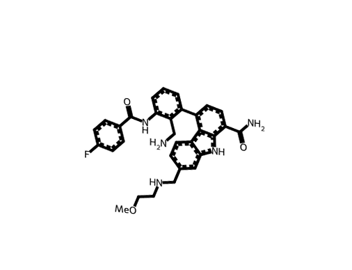 COCCNCc1ccc2c(c1)[nH]c1c(C(N)=O)ccc(-c3cccc(NC(=O)c4ccc(F)cc4)c3CN)c12